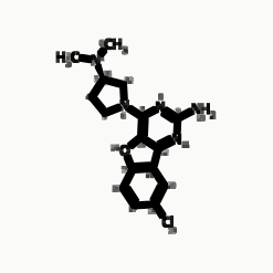 CN(C)[C@@H]1CCN(c2nc(N)nc3c2oc2ccc(Cl)cc23)C1